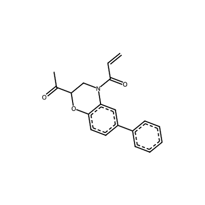 C=CC(=O)N1CC(C(C)=O)Oc2ccc(-c3ccccc3)cc21